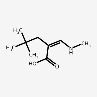 CNC=C(CC(C)(C)C)C(=O)O